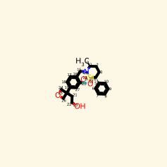 C[C@H]1CC[C@H](c2ccccc2)S(=O)(=O)N1Cc1ccc(C2(CCO)COC2)cc1F